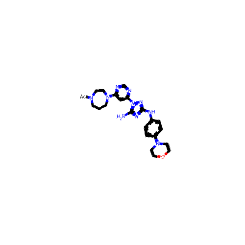 CC(=O)N1CCCN(c2cc(-n3nc(Nc4ccc(N5CCOCC5)cc4)nc3N)ncn2)CC1